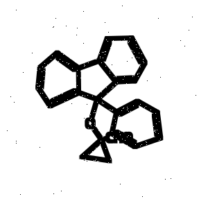 O=CC1(OC2(c3ccccc3)c3ccccc3-c3ccccc32)CC1